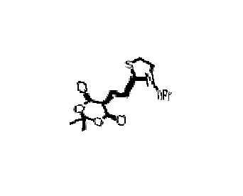 CCCN1CCS/C1=C\C=C1C(=O)OC(C)(C)OC1=O